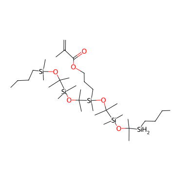 C=C(C)C(=O)OCCC[Si](C)(OC(C)(C)[Si](C)(C)OC(C)(C)[SiH2]CCCC)C(C)(C)O[Si](C)(C)C(C)(C)O[Si](C)(C)CCCC